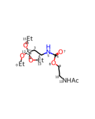 CCO[Si](CCNC(=O)OCCNC(C)=O)(OCC)OCC